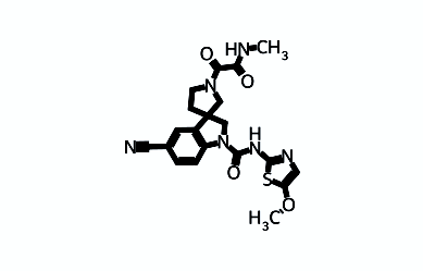 CNC(=O)C(=O)N1CCC2(C1)CN(C(=O)Nc1ncc(OC)s1)c1ccc(C#N)cc12